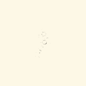 COc1ccc(C(=O)c2ccc(N3CCN(C4CCCC4)CC3)cc2)cc1OC.Cl